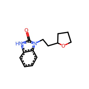 O=c1[nH]c2ccccc2n1CCC1CCCO1